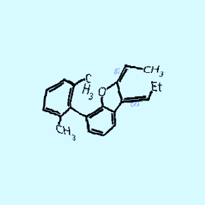 C/C=c1/oc2c(-c3c(C)cccc3C)cccc2/c1=C/CC